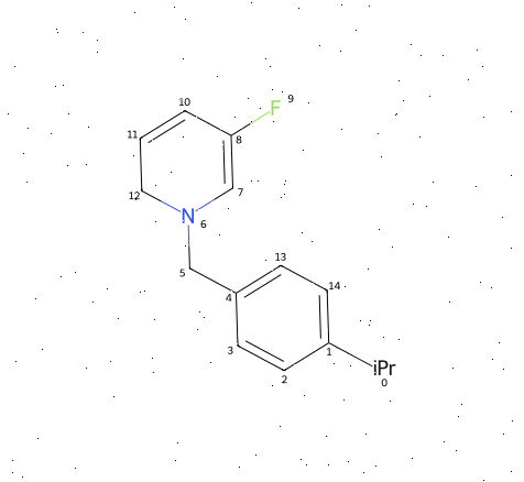 CC(C)c1ccc(CN2C=C(F)C=CC2)cc1